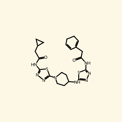 O=C(CC1=CCCC=C1)Nc1nnc(NC2CCN(c3nnc(NC(=O)CC4CC4)s3)CC2)s1